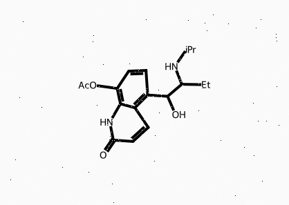 CCC(NC(C)C)C(O)c1ccc(OC(C)=O)c2[nH]c(=O)ccc12